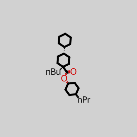 CCCC[C@]1(C(=O)OC2CCC(CCC)CC2)CC[C@@H](C2CCCCC2)CC1